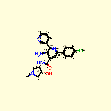 CN1C[C@@H](O)[C@@H](NC(=O)c2cc(-c3ccc(Cl)cc3)nc(-c3cccnc3)c2N)C1